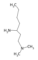 CCCCC(N)CCN(C)C